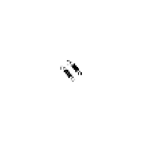 [O]=[Ce].[O]=[Er]